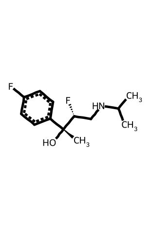 CC(C)NC[C@@H](F)[C@](C)(O)c1ccc(F)cc1